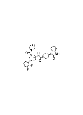 O=C(N[C@@H]1CC[C@@H](c2cccc(F)c2F)CN(C(=O)N2CCOCC2)C1)N1CCC(n2c(=O)[nH]c3ncccc32)CC1